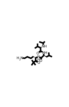 CC(C)C[C@H](NC(=O)[C@@H](NC(C)C)C(C)C)C(=O)N[C@@H](CCCCN)C(=O)C(C)(C)C